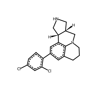 Clc1ccc(-c2cc3c4c(c2)[C@@H]2CNC[C@@H]2CN4CCC3)c(Cl)c1